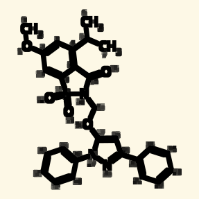 COc1cc(C(C)C)c2c(c1)S(=O)(=O)N(COc1cc(-c3ccccc3)nn1-c1ccccc1)C2=O